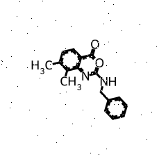 Cc1ccc2c(=O)oc(NCc3ccccc3)nc2c1C